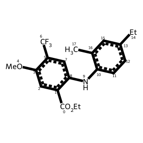 CCOC(=O)c1cc(OC)c(C(F)(F)F)cc1Nc1ccc(CC)cc1C